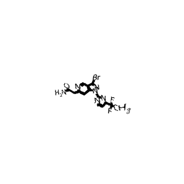 CC(F)(F)c1ccnc(-n2nc(Br)c3cnc(CC(N)=O)cc32)n1